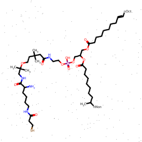 CCCCCCCC/C=C/CCCCCCCC(=O)OCC(COP(=O)(O)OCCNC(=O)CC(C)(C)CCOC(C)(C)CNC(=O)C(N)CCCCNC(=O)CCS)OC(=O)CCCCCCCC(C)CCCCCCCCC